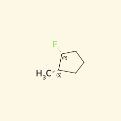 C[C@H]1CCC[C@H]1F